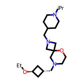 CCO[C@H]1C[C@H](CN2CCOC3(CN(CC4CCN(C(C)C)CC4)C3)C2)C1